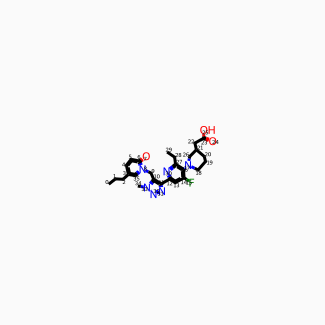 CCCc1ccc(=O)n(Cc2c(-c3cc(F)c(N4CCCC(CC(=O)O)C4)c(CC)n3)nnn2C)c1